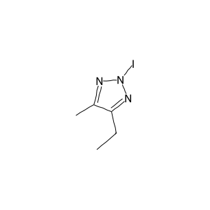 CCc1nn(I)nc1C